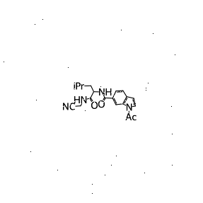 CC(=O)n1ccc2ccc(C(=O)NC(CC(C)C)C(=O)NCC#N)cc21